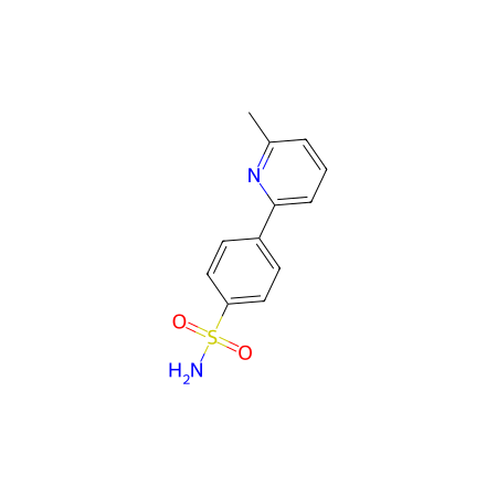 Cc1cccc(-c2ccc(S(N)(=O)=O)cc2)n1